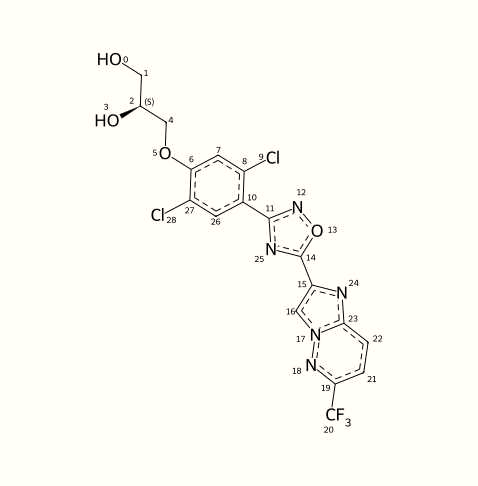 OC[C@H](O)COc1cc(Cl)c(-c2noc(-c3cn4nc(C(F)(F)F)ccc4n3)n2)cc1Cl